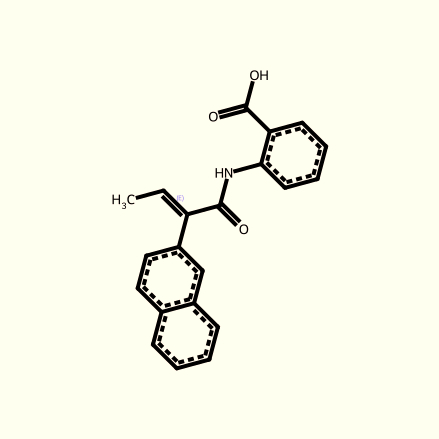 C/C=C(/C(=O)Nc1ccccc1C(=O)O)c1ccc2ccccc2c1